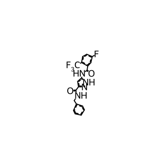 O=C(NCc1ccccc1)c1cc(NC(=O)c2cc(F)ccc2C(F)(F)F)[nH]n1